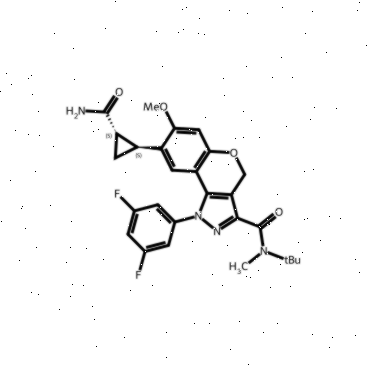 COc1cc2c(cc1[C@H]1C[C@@H]1C(N)=O)-c1c(c(C(=O)N(C)C(C)(C)C)nn1-c1cc(F)cc(F)c1)CO2